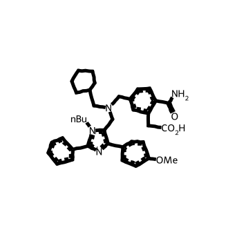 CCCCn1c(-c2ccccc2)nc(-c2ccc(OC)cc2)c1CN(Cc1ccc(C(N)=O)c(CC(=O)O)c1)CC1CCCCC1